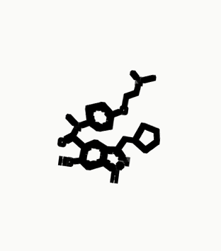 CN(C)CCOc1ccc(N(C)C(=O)c2cc3c(CC4CCCC4)n[nH]c3cc2O)cc1